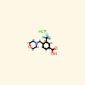 Cl.O=C(O)c1ccc(CN2CCOCC2)c(C(F)(F)F)c1